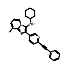 Cc1cccn2c(NC3CCCCC3)c(-c3ccc(C#Cc4ccccc4)nc3)nc12